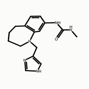 CNC(=O)Nc1ccc2c(c1)N(Cc1c[nH]cn1)CCCC2